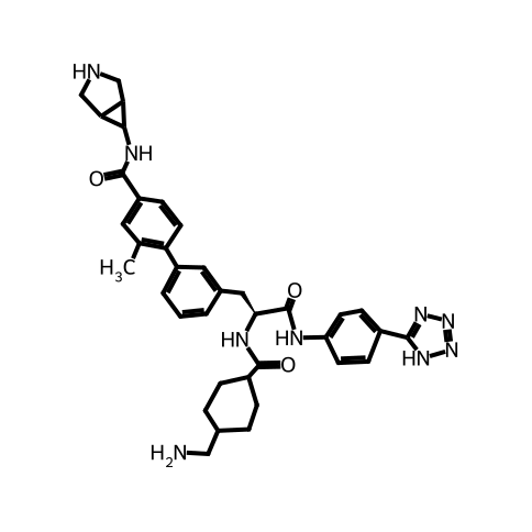 Cc1cc(C(=O)NC2C3CNCC32)ccc1-c1cccc(C[C@H](NC(=O)C2CCC(CN)CC2)C(=O)Nc2ccc(-c3nnn[nH]3)cc2)c1